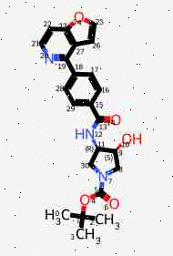 CC(C)(C)OC(=O)N1C[C@H](O)[C@H](NC(=O)c2ccc(-c3nccc4occc34)cc2)C1